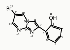 Oc1ccccc1-c1cn2cc(Br)cnc2n1